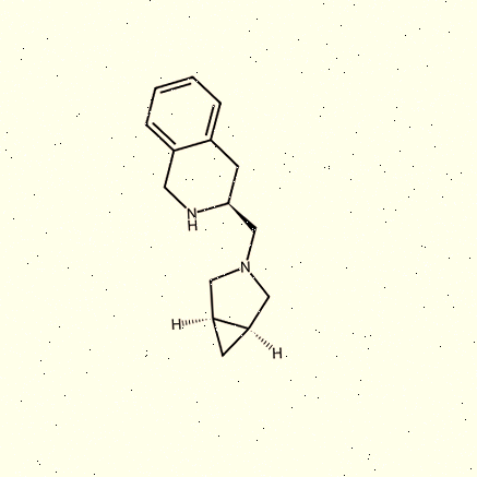 c1ccc2c(c1)CN[C@H](CN1C[C@H]3C[C@H]3C1)C2